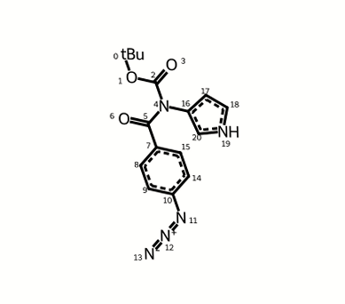 CC(C)(C)OC(=O)N(C(=O)c1ccc(N=[N+]=[N-])cc1)c1cc[nH]c1